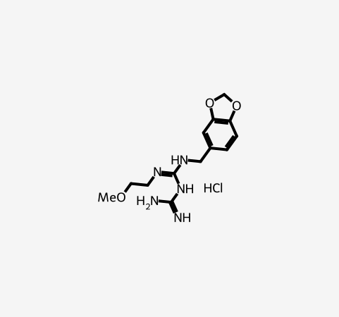 COCCN=C(NCc1ccc2c(c1)OCO2)NC(=N)N.Cl